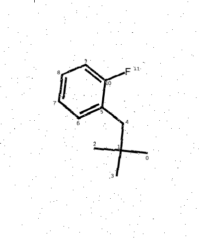 CC(C)(C)Cc1ccccc1F